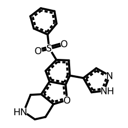 O=S(=O)(c1ccccc1)c1cc(-c2cn[nH]c2)c2oc3c(c2c1)CNCC3